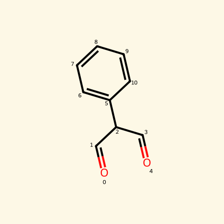 O=CC(C=O)c1ccccc1